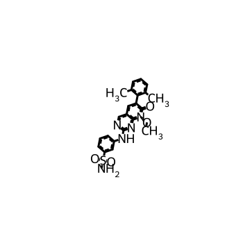 COn1c(=O)c(-c2c(C)cccc2C)cc2cnc(Nc3cccc(S(N)(=O)=O)c3)nc21